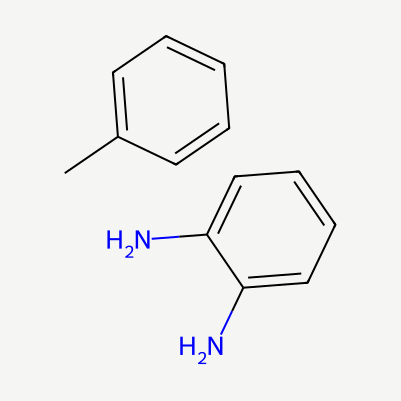 Cc1ccccc1.Nc1ccccc1N